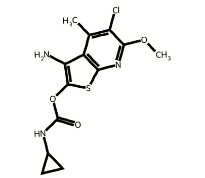 COc1nc2sc(OC(=O)NC3CC3)c(N)c2c(C)c1Cl